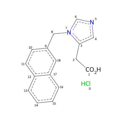 Cl.O=C(O)Cc1cncn1Cc1ccc2ccccc2c1